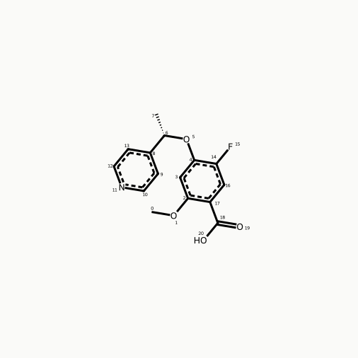 COc1cc(O[C@@H](C)c2ccncc2)c(F)cc1C(=O)O